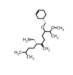 C=C(CCC(OC[C@@H]1CC=CCC1)C(C)OC)[C@@H](CN)CCC(C)C